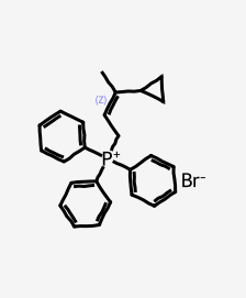 C/C(=C/C[P+](c1ccccc1)(c1ccccc1)c1ccccc1)C1CC1.[Br-]